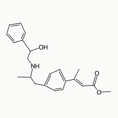 COC(=O)/C=C(\C)c1ccc(CC(C)NCC(O)c2ccccc2)cc1